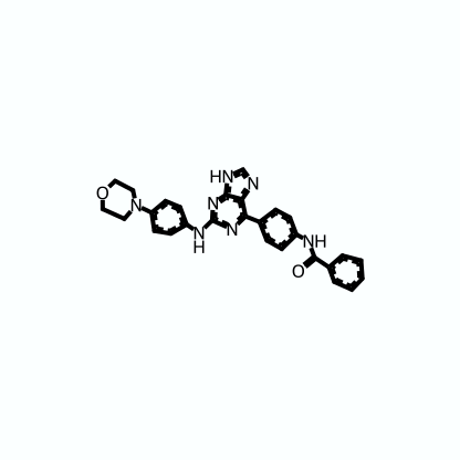 O=C(Nc1ccc(-c2nc(Nc3ccc(N4CCOCC4)cc3)nc3[nH]cnc23)cc1)c1ccccc1